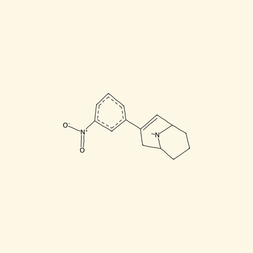 CN1C2C=C(c3cccc([N+](=O)[O-])c3)CC1CCC2